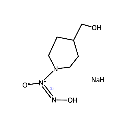 [NaH].[O-]/[N+](=N/O)N1CCC(CO)CC1